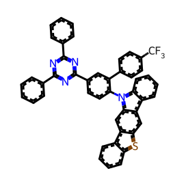 FC(F)(F)c1ccc(-c2cc(-c3nc(-c4ccccc4)nc(-c4ccccc4)n3)ccc2-n2c3ccccc3c3cc4sc5ccccc5c4cc32)cc1